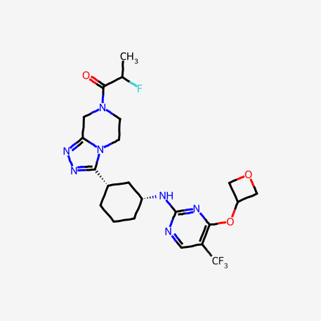 CC(F)C(=O)N1CCn2c(nnc2[C@H]2CCC[C@@H](Nc3ncc(C(F)(F)F)c(OC4COC4)n3)C2)C1